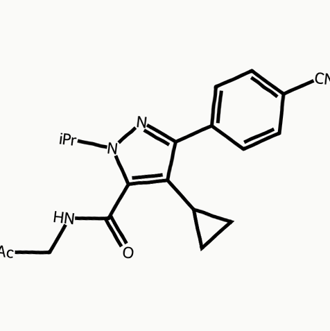 CC(=O)CNC(=O)c1c(C2CC2)c(-c2ccc(C#N)cc2)nn1C(C)C